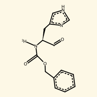 [2H]N(C(=O)OCc1ccccc1)[C@H]([C]=O)Cc1c[nH]cn1